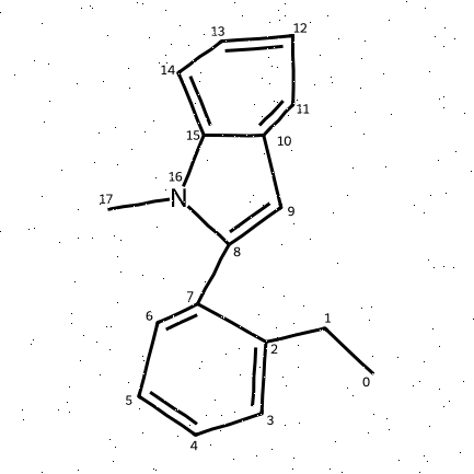 CCc1ccccc1-c1cc2ccccc2n1C